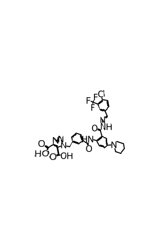 O=C(Nc1ccc(N2CCCCC2)cc1C(=O)N/N=C/c1ccc(Cl)c(C(F)(F)F)c1)c1cccc(Cn2nnc(C(=O)O)c2C(=O)O)c1